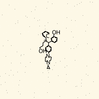 OCCC[C@@H](c1ccccc1)C(c1ccc(N2CCN(C3CC3)CC2)cc1)c1cccc(O)c1